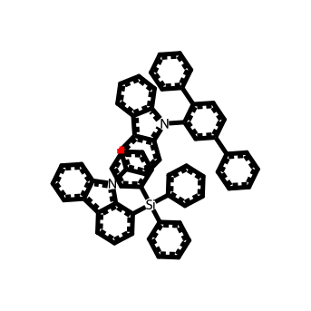 c1ccc(-c2ccc(-c3ccccc3)c(-n3c4ccccc4c4cc(-n5c6ccccc6c6cccc([Si](c7ccccc7)(c7ccccc7)c7ccccc7)c65)ccc43)c2)cc1